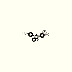 [C-]#[N+]c1ccc(N2C(=O)C3(CCCC3)N(c3ccc(C)cc3)C2=S)cc1C(F)(F)F